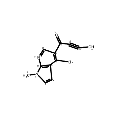 Cn1ccc2c(Cl)c(C(=O)C#CO)cnc21